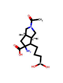 CC(=O)N1C[C@@H]2CC(N)(C(=O)O)C(CCCB(O)O)[C@@H]2C1